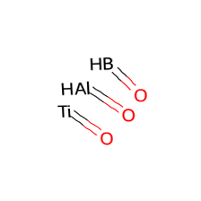 B=O.[O]=[AlH].[O]=[Ti]